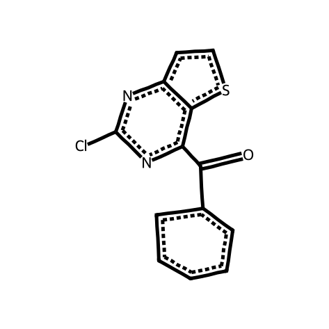 O=C(c1ccccc1)c1nc(Cl)nc2ccsc12